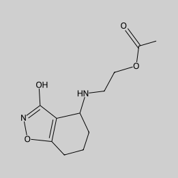 CC(=O)OCCNC1CCCc2onc(O)c21